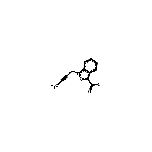 CC#CCn1nc(C(=O)Cl)c2ccccc21